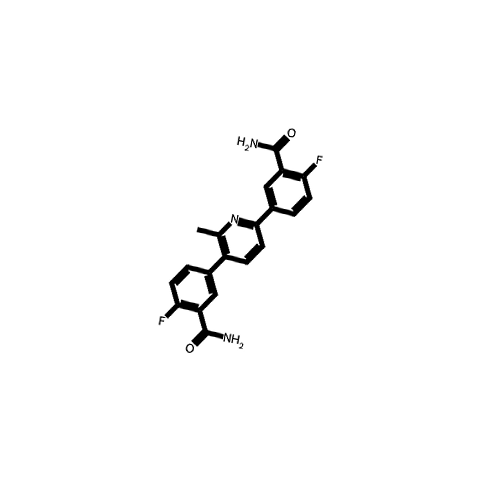 Cc1nc(-c2ccc(F)c(C(N)=O)c2)ccc1-c1ccc(F)c(C(N)=O)c1